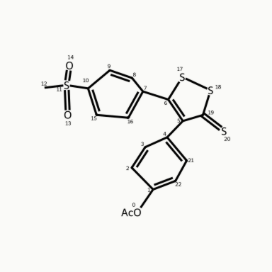 CC(=O)Oc1ccc(-c2c(-c3ccc(S(C)(=O)=O)cc3)ssc2=S)cc1